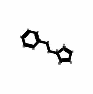 c1ccc(CCn2ncnn2)cc1